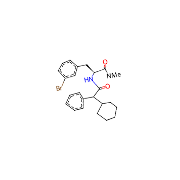 CNC(=O)[C@H](Cc1cccc(Br)c1)NC(=O)C(c1ccccc1)C1CCCCC1